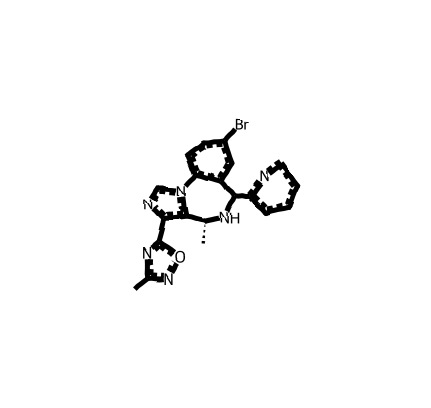 Cc1noc(-c2ncn3c2[C@@H](C)NC(c2ccccn2)c2cc(Br)ccc2-3)n1